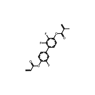 C=CC(=O)Oc1ccc(-c2ccc(OC(=O)C(=C)C)c(F)c2F)cc1F